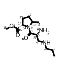 CCCNC[C@H](N)C(=O)N1C(C)CC[C@H]1C(=O)OC